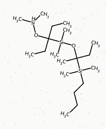 CCCC[Si](C)(C)C(C)(CC)O[Si](C)(C)C(CC)(CC)O[SiH](C)C